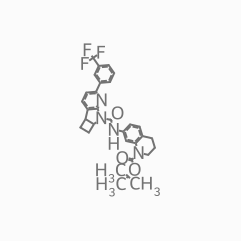 CC(C)(C)OC(=O)N1CCCc2ccc(NC(=O)N3c4nc(-c5cccc(C(F)(F)F)c5)ccc4C4CCC43)cc21